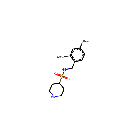 COc1ccc(CNS(=O)(=O)C2CCNCC2)c(OC)c1